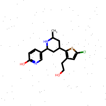 CC1CC(c2sc(Cl)cc2CCO)CC(c2ccc(O)nc2)N1